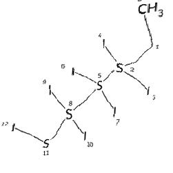 CCS(I)(I)S(I)(I)S(I)(I)SI